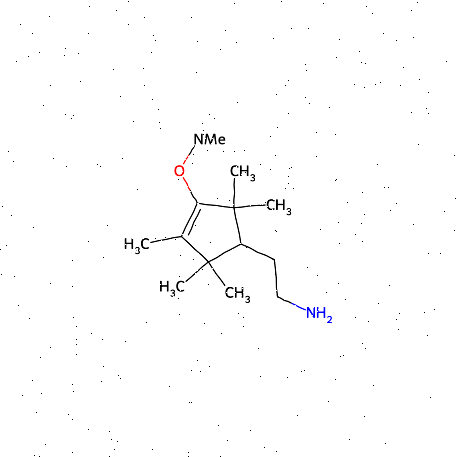 CNOC1=C(C)C(C)(C)C(CCN)C1(C)C